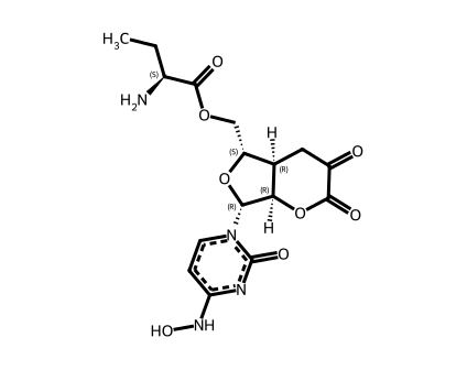 CC[C@H](N)C(=O)OC[C@H]1O[C@@H](n2ccc(NO)nc2=O)[C@@H]2OC(=O)C(=O)C[C@@H]21